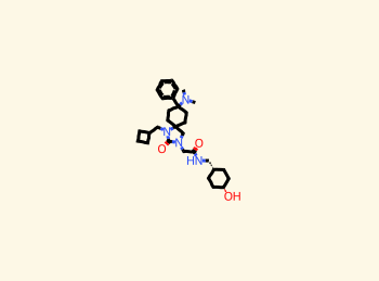 CN(C)C1(c2ccccc2)CCC2(CC1)CN(CC(=O)NC[C@H]1CC[C@@H](O)CC1)C(=O)N2CC1CCC1